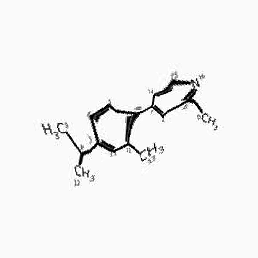 Cc1cc(-c2ccc(C(C)C)cc2C)ccn1